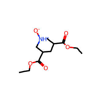 CCOC(=O)C1CC(C(=O)OCC)C[NH+]([O-])C1